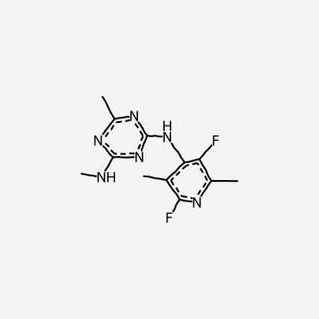 CNc1nc(C)nc(Nc2c(C)c(F)nc(C)c2F)n1